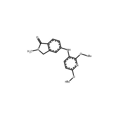 CCCCOc1ccc(Nc2ccc3c(c2)CN(C)C3=O)c(OCCCC)n1